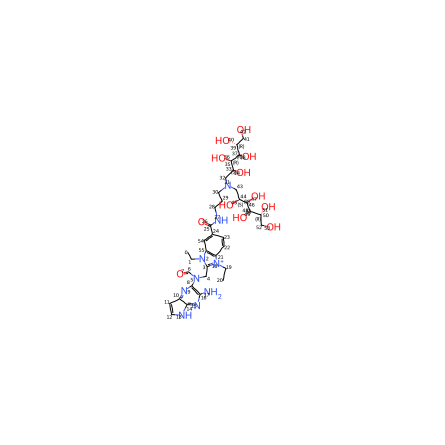 CCn1c(CN(C=O)c2nc3cc[nH]c3nc2N)[n+](CC)c2ccc(C(=O)NCCCN(C[C@H](O)[C@@H](O)[C@H](O)[C@H](O)CO)C[C@H](O)[C@@H](O)[C@H](O)[C@H](O)CO)cc21